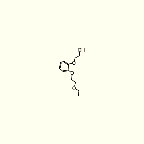 CCOCCOc1ccccc1OCCO